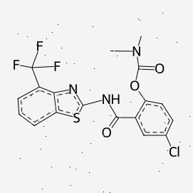 CN(C)C(=O)Oc1ccc(Cl)cc1C(=O)Nc1nc2c(C(F)(F)F)cccc2s1